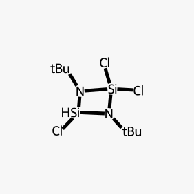 CC(C)(C)N1[SiH](Cl)N(C(C)(C)C)[Si]1(Cl)Cl